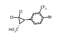 O=C(O)[C@H]1[C@H](c2ccc(Br)c(C(F)(F)F)c2)C1(Cl)Cl